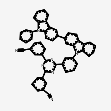 N#Cc1cccc(-c2nc(-c3cccc(C#N)c3)nc(-c3cccc(-n4c5ccccc5c5ccc(-c6ccc7c(c6)c6ccccc6n7-c6ccccc6)cc54)c3)n2)c1